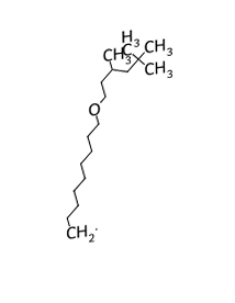 [CH2]CCCCCCCCOCCC(C)CC(C)(C)C